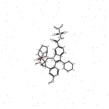 COc1ccc2c(c1)C1CC1(C(=O)N1C3CCC1CC(N(C)C)C3)Cn1c-2c(C2CCCCC2)c2ccc(C(=O)NS(=O)(=O)N(C)C)cc21